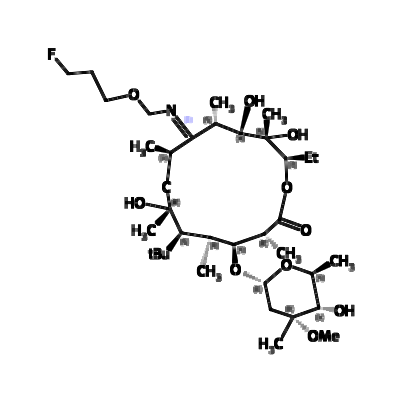 CC[C@H]1OC(=O)[C@H](C)[C@@H](O[C@H]2C[C@@](C)(OC)[C@@H](O)[C@H](C)O2)[C@H](C)[C@@H](C(C)(C)C)[C@](C)(O)C[C@@H](C)/C(=N\COCCCF)[C@H](C)[C@@H](O)[C@]1(C)O